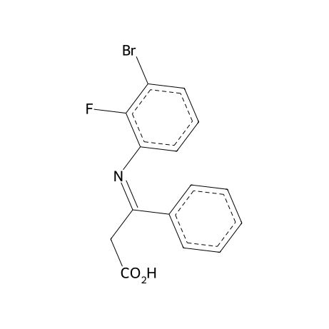 O=C(O)C/C(=N/c1cccc(Br)c1F)c1ccccc1